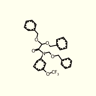 O=C(C(OCc1ccccc1)OCc1ccccc1)N(COCc1ccccc1)c1cccc(OC(F)(F)F)c1